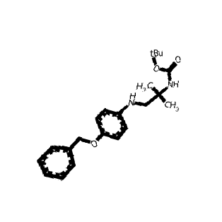 CC(C)(CNc1ccc(OCc2ccccc2)cc1)NC(=O)OC(C)(C)C